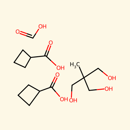 CC(CO)(CO)CO.O=C(O)C1CCC1.O=C(O)C1CCC1.O=CO